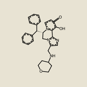 O=c1ccn2c(c1O)-c1ncc(CNC3CCOCC3)n1C[C@@H]2C(c1ccccc1)c1ccccc1